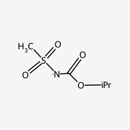 CC(C)OC(=O)[N]S(C)(=O)=O